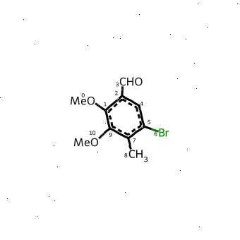 COc1c(C=O)cc(Br)c(C)c1OC